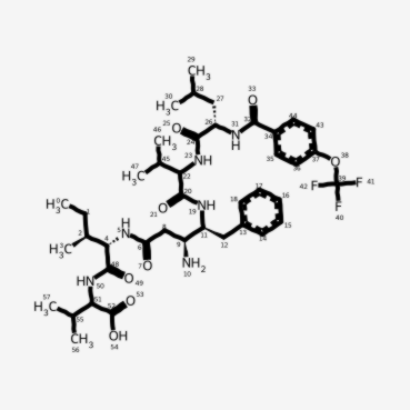 CC[C@H](C)[C@H](NC(=O)C[C@H](N)[C@H](Cc1ccccc1)NC(=O)C(NC(=O)[C@H](CC(C)C)NC(=O)c1ccc(OC(F)(F)F)cc1)C(C)C)C(=O)NC(C(=O)O)C(C)C